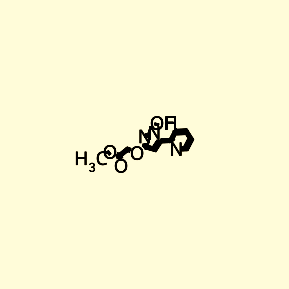 COC(=O)COc1cc(-c2ncccc2F)n(O)n1